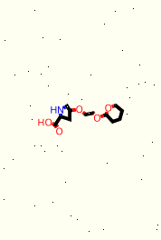 O=C(O)C1CC(OCCOC2CCCCO2)CN1